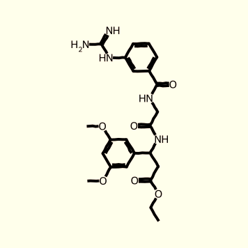 CCOC(=O)CC(NC(=O)CNC(=O)c1cccc(NC(=N)N)c1)c1cc(OC)cc(OC)c1